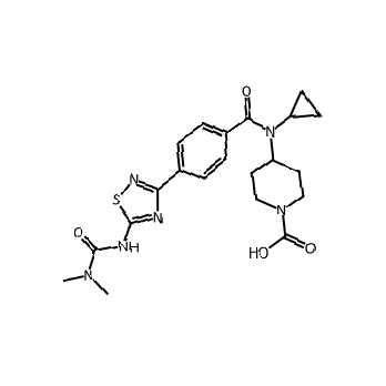 CN(C)C(=O)Nc1nc(-c2ccc(C(=O)N(C3CC3)C3CCN(C(=O)O)CC3)cc2)ns1